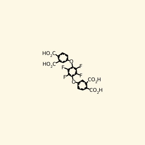 O=C(O)c1ccc(Oc2c(F)c(F)c(Oc3ccc(C(=O)O)c(C(=O)O)c3)c(F)c2F)cc1C(=O)O